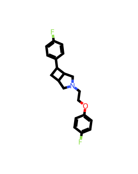 Fc1ccc(OCCN2CC3CC(c4ccc(F)cc4)C3C2)cc1